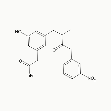 CC(C)C(=O)Cc1cc(C#N)cc(CC(C)C(=O)Cc2cccc([N+](=O)[O-])c2)c1